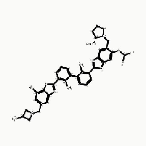 Cc1c(-c2nc3cc(CN4CCC[C@H]4C(=O)O)c(OC(F)F)cc3o2)cccc1-c1cccc(-c2nc3cc(CN4CC(C)C4)cc(C#N)c3o2)c1C